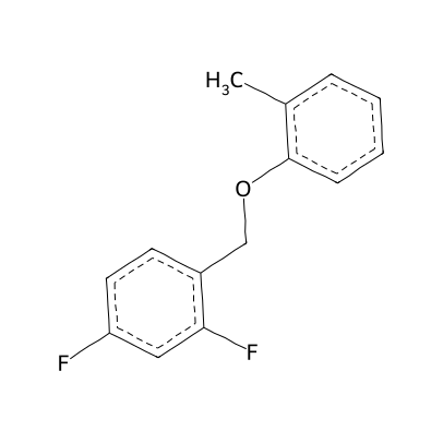 Cc1ccccc1OCc1ccc(F)cc1F